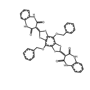 O=C1Nc2ccccc2NC(=O)C1=C1Sc2c(OCc3ccccc3)c3c(c(OCc4ccccc4)c2S1)SC(=C1C(=O)Nc2ccccc2NC1=O)S3